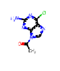 CC(=O)n1cnc2c(Cl)nc(N)nc21